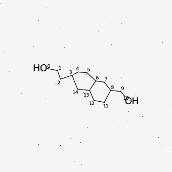 OCCC1CCC2CC(CO)CCC2C1